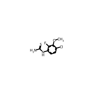 COc1c(Cl)ccc(NC(N)=S)c1F